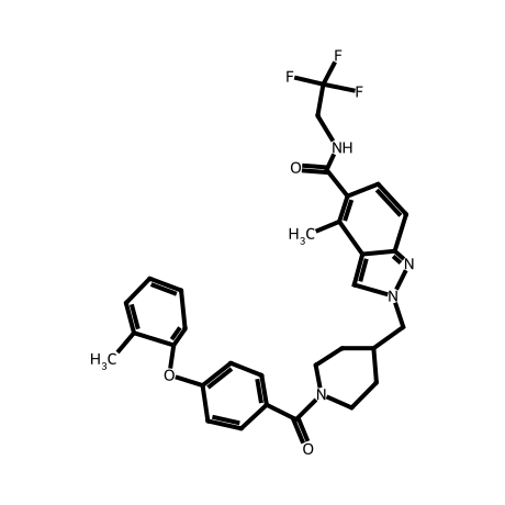 Cc1ccccc1Oc1ccc(C(=O)N2CCC(Cn3cc4c(C)c(C(=O)NCC(F)(F)F)ccc4n3)CC2)cc1